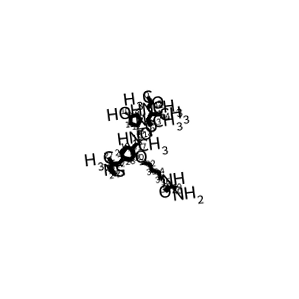 CC(=O)N[C@H](C(=O)N1C[C@H](O)C[C@H]1C(=O)N[C@@H](C)c1ccc(-c2scnc2C)cc1OCCCCCNC(=O)CN)C(C)(C)C